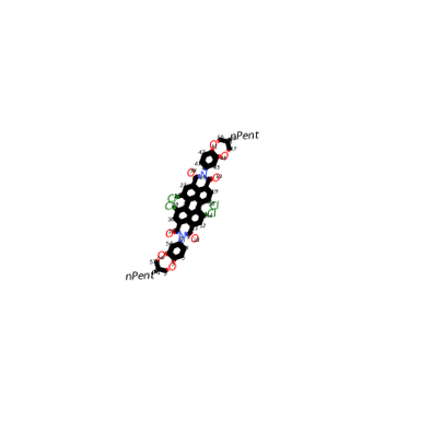 CCCCCC1COc2ccc(N3C(=O)c4cc(Cl)c5c6c(Cl)cc7c8c(cc(Cl)c(c9c(Cl)cc(c4c59)C3=O)c86)C(=O)N(c3ccc4c(c3)OCC(CCCCC)CO4)C7=O)cc2OC1